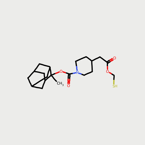 CC1(OC(=O)N2CCC(CC(=O)OCS)CC2)C2CC3CC(C2)CC1C3